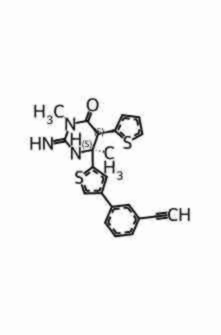 C#Cc1cccc(-c2csc([C@@]3(C)NC(=N)N(C)C(=O)[C@H]3c3cccs3)c2)c1